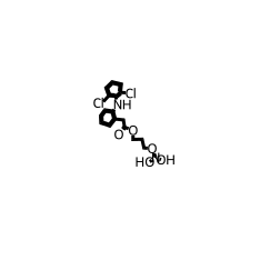 O=C(Cc1ccccc1Nc1c(Cl)cccc1Cl)OCCCON(O)O